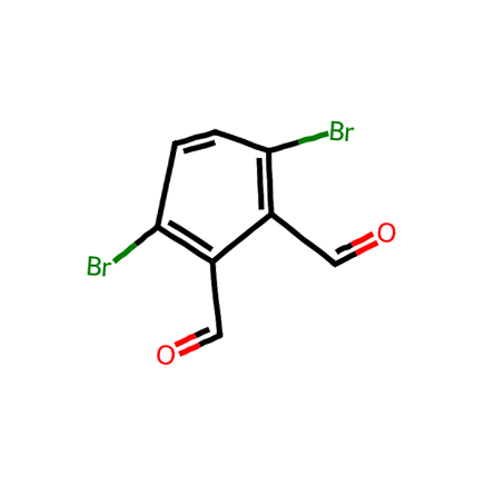 O=Cc1c(Br)ccc(Br)c1C=O